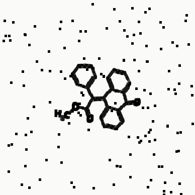 COC(=O)C(=C1c2ccccc2C(=O)c2ccccc21)c1ccccc1